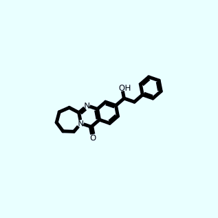 O=c1c2ccc(C(O)Cc3ccccc3)cc2nc2n1CCCCC2